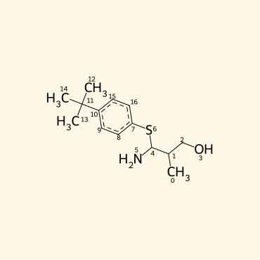 CC(CO)C(N)Sc1ccc(C(C)(C)C)cc1